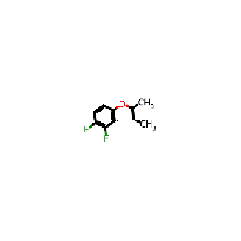 CCC(C)Oc1[c]c(F)c(F)cc1